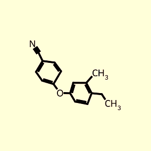 CCc1ccc(Oc2ccc(C#N)cc2)cc1C